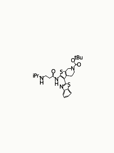 CC(C)NCCC(=O)Nc1sc2c(c1-c1nc3ccccc3s1)CCN(C(=O)OC(C)(C)C)C2